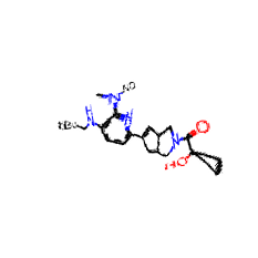 CN(N=O)c1nc(C2=CC3CN(C(=O)C4(O)CC4)CC3C2)ccc1NCC(C)(C)C